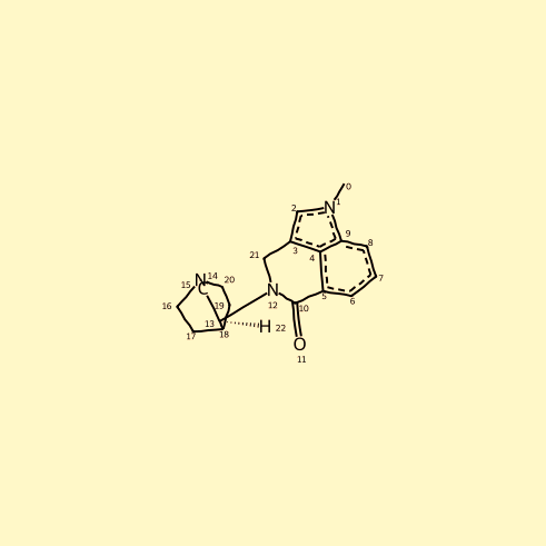 Cn1cc2c3c(cccc31)C(=O)N([C@@H]1CN3CCC1CC3)C2